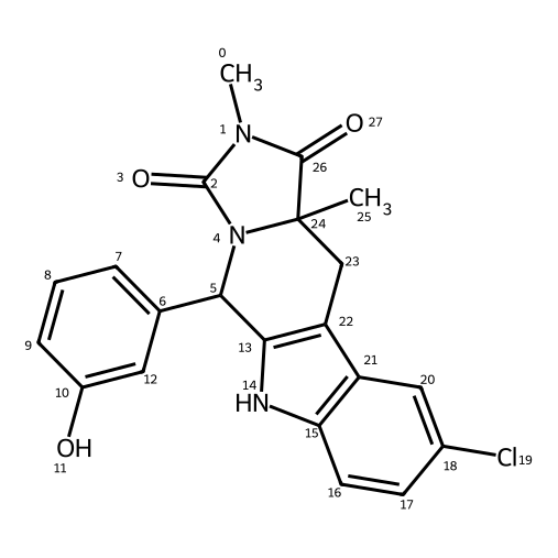 CN1C(=O)N2C(c3cccc(O)c3)c3[nH]c4ccc(Cl)cc4c3CC2(C)C1=O